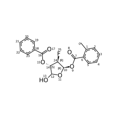 Cc1ccccc1C(=O)O[C@H]1OC(O)[C@H](OC(=O)c2ccccc2)[C@H]1F